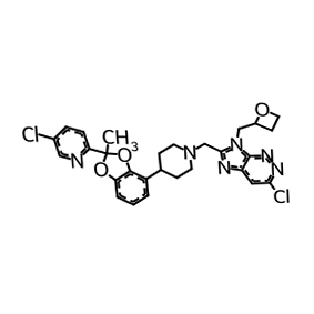 CC1(c2ccc(Cl)cn2)Oc2cccc(C3CCN(Cc4nc5cc(Cl)nnc5n4CC4CCO4)CC3)c2O1